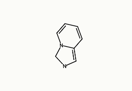 C1=CC2=C[N]CN2C=C1